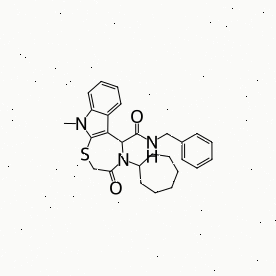 Cn1c2c(c3ccccc31)C(C(=O)NCc1ccccc1)N(C1CCCCCC1)C(=O)CS2